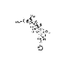 COC(=O)CN(CC(=O)OC)[C@H]1CC[C@]2(C)[C@H]3C(=O)C=C4[C@@H]5C[C@@](C)(C(=O)OCc6ccccc6)CC[C@]5(C)CC[C@@]4(C)[C@]3(C)CC[C@H]2C1(C)C